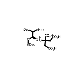 CCCCCCCCCCOC(=O)C(CCCCCC)CCCCCCCCCC.O=C(O)CC(O)(CC(=O)O)C(=O)O